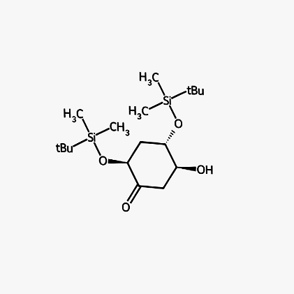 CC(C)(C)[Si](C)(C)O[C@H]1C[C@H](O[Si](C)(C)C(C)(C)C)[C@@H](O)CC1=O